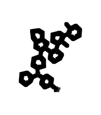 Cc1ccccc1-c1cccc(-c2ccccc2-c2cc3ccccc3cc2-c2ccc(N(c3ccccc3)c3ccc(Br)cc3)cc2)c1C